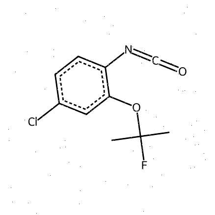 CC(C)(F)Oc1cc(Cl)ccc1N=C=O